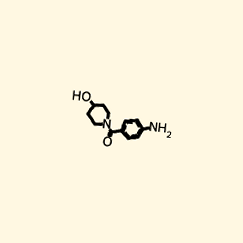 Nc1ccc(C(=O)N2CCC(O)CC2)cc1